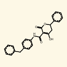 O=C(Nc1ccc(Cc2ccccc2)cc1)C1=C(O)CC(c2ccccc2)OC1=O